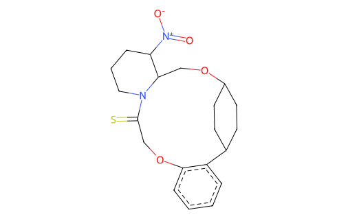 O=[N+]([O-])C1CCCN2C(=S)COc3ccccc3C3CCC(CC3)OCC12